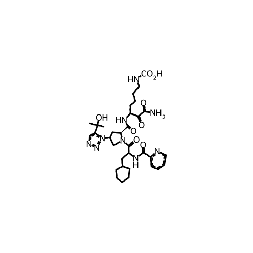 CC(C)(O)c1cnnn1[C@H]1C[C@@H](C(=O)NC(CCCCNC(=O)O)C(=O)C(N)=O)N(C(=O)C(CC2CCCCC2)NC(=O)c2ccccn2)C1